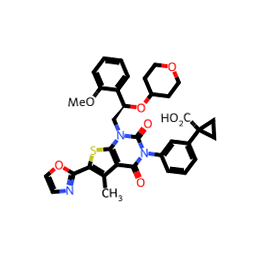 COc1ccccc1[C@H](Cn1c(=O)n(-c2cccc(C3(C(=O)O)CC3)c2)c(=O)c2c(C)c(-c3ncco3)sc21)OC1CCOCC1